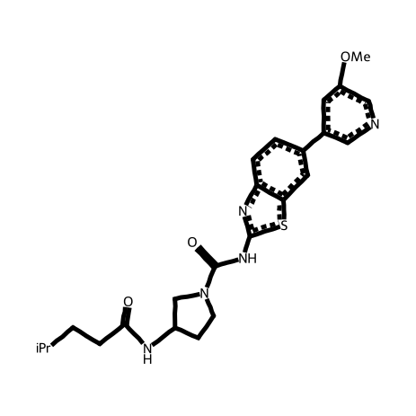 COc1cncc(-c2ccc3nc(NC(=O)N4CCC(NC(=O)CCC(C)C)C4)sc3c2)c1